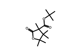 CC(C)(C)OC(=O)C1(C)C(=O)OC(C)(C)C1(C)C